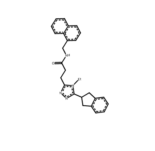 CCn1c(CCC(=O)NCc2cccc3ccccc23)nnc1C1Cc2ccccc2C1